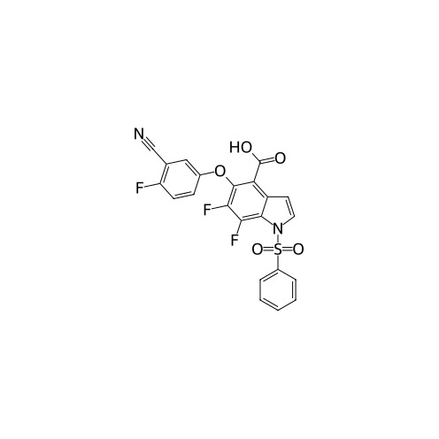 N#Cc1cc(Oc2c(F)c(F)c3c(ccn3S(=O)(=O)c3ccccc3)c2C(=O)O)ccc1F